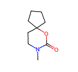 CN1CCC2(CCCC2)OC1=O